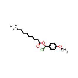 CCCCCCCCCC(=O)OC(Cl)c1ccc(OC)cc1